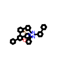 c1ccc(-c2cccc(-c3nc(-c4ccccc4)nc(-c4cccc5c4sc4c(-c6cc(-c7ccccc7)cc7oc8ccccc8c67)cccc45)n3)c2)cc1